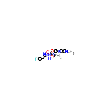 CN1CCC2(CC1)CCN(c1ccc3c(c1)N(C)C(=O)[C@H](NC(=O)n1cc(Cc4ccc(F)cc4)cn1)CO3)CC2